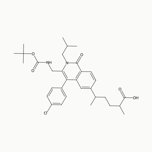 CC(C)Cn1c(CNC(=O)OC(C)(C)C)c(-c2ccc(Cl)cc2)c2cc(C(C)CCC(C)C(=O)O)ccc2c1=O